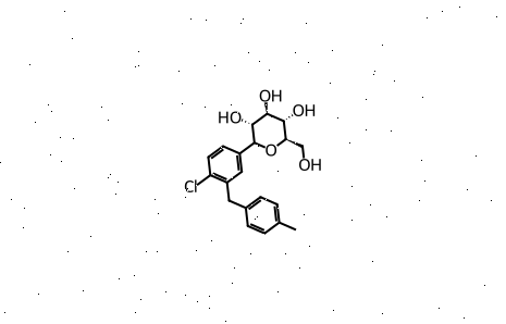 Cc1ccc(Cc2cc(C3O[C@H](CO)[C@@H](O)[C@H](O)[C@H]3O)ccc2Cl)cc1